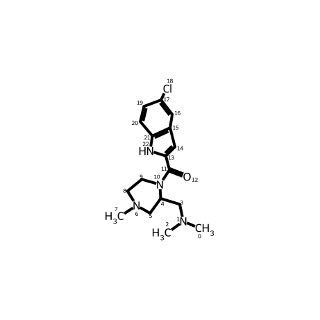 CN(C)CC1CN(C)CCN1C(=O)c1cc2cc(Cl)ccc2[nH]1